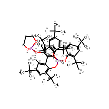 Cc1c(C(C)(C)C)cc(C(C)(C)C)c(OP2OCCCO2)c1-c1c(C)c(C(C)(C)C)cc(C(C)(C)C)c1Op1oc2c(C(C)(C)C)cc(C(C)(C)C)cc2c2cc(C(C)(C)C)cc(C(C)(C)C)c2o1